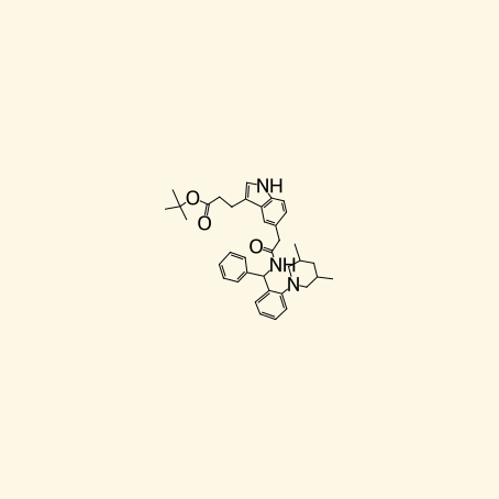 CC1CC(C)CN(c2ccccc2C(NC(=O)Cc2ccc3[nH]cc(CCC(=O)OC(C)(C)C)c3c2)c2ccccc2)C1